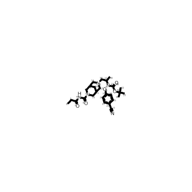 CCC(=O)NC(=O)N1CC2CC(CN(CC(C)N(Oc3ccc(C#N)cc3)C(=O)OC(C)(C)C)C2)C1